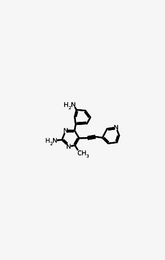 Cc1nc(N)nc(-c2cccc(N)c2)c1C#Cc1cccnc1